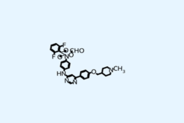 CN1CCC(COc2ccc(-c3cc(Nc4ccc(N(OC=O)S(=O)(=O)c5c(F)cccc5F)cc4)ncn3)cc2)CC1